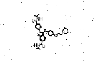 CC(C)NC(=O)c1ccc(-c2sc3cc(C(=O)NC(C)C)ccc3c2C(=O)c2ccc(OCCN3CCCCC3)cc2)cc1